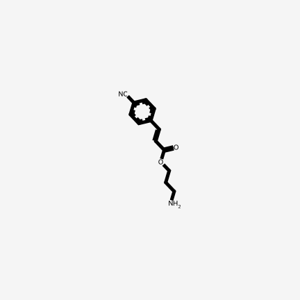 N#Cc1ccc(/C=C/C(=O)OCCCN)cc1